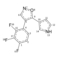 Fc1ccc(-c2cnoc2-c2cc[nH]c2)c(F)c1F